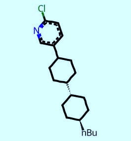 CCCC[C@H]1CC[C@H](C2CCC(c3ccc(Cl)nc3)CC2)CC1